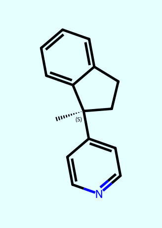 C[C@@]1(c2ccncc2)CCc2ccccc21